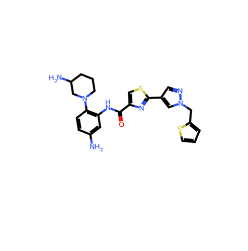 Nc1ccc(N2CCCC(N)C2)c(NC(=O)c2csc(-c3cnn(Cc4cccs4)c3)n2)c1